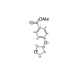 COC(=O)c1ccc(OC2CCOC2)cc1